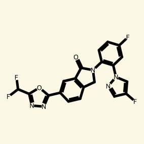 O=C1c2cc(-c3nnc(C(F)F)o3)ccc2CN1c1ccc(F)cc1-n1cc(F)cn1